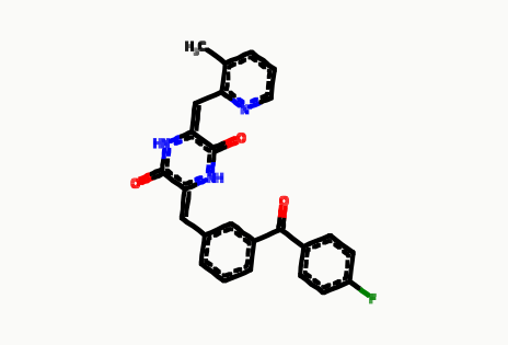 Cc1cccnc1C=c1[nH]c(=O)c(=Cc2cccc(C(=O)c3ccc(F)cc3)c2)[nH]c1=O